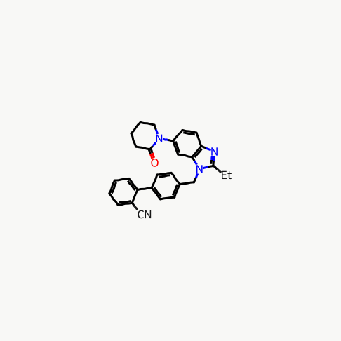 CCc1nc2ccc(N3CCCCC3=O)cc2n1Cc1ccc(-c2ccccc2C#N)cc1